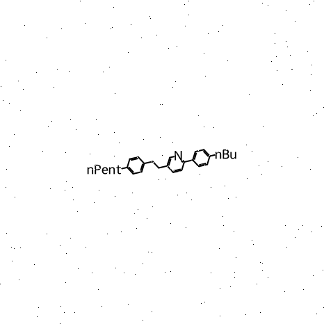 CCCCCc1ccc(CCc2ccc(-c3ccc(CCCC)cc3)nc2)cc1